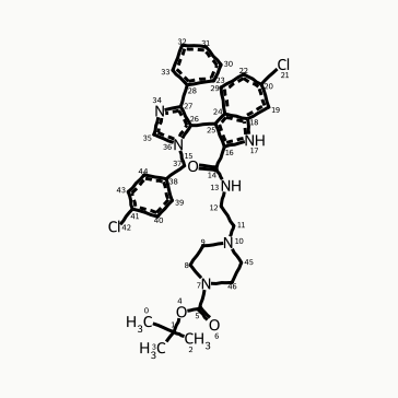 CC(C)(C)OC(=O)N1CCN(CCNC(=O)c2[nH]c3cc(Cl)ccc3c2-c2c(-c3ccccc3)ncn2Cc2ccc(Cl)cc2)CC1